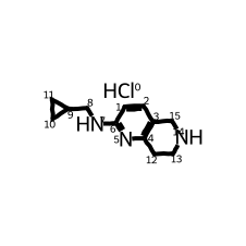 Cl.c1cc2c(nc1NCC1CC1)CCNC2